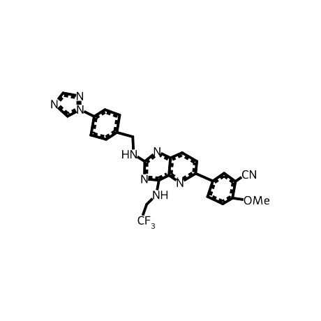 COc1ccc(-c2ccc3nc(NCc4ccc(-n5cncn5)cc4)nc(NCC(F)(F)F)c3n2)cc1C#N